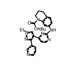 CCn1cc(-c2ccnc(Nc3ccc4c(c3)N(C(=O)OC(C)(C)C)CCC4)n2)c(-c2cccnc2)n1